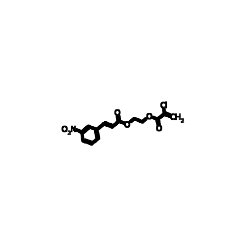 C=C(Cl)C(=O)OCCOC(=O)/C=C/c1cccc([N+](=O)[O-])c1